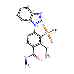 C=NC(=O)c1ccc(-n2cnc3ccccc32)c(S(C)(=O)=O)c1CC